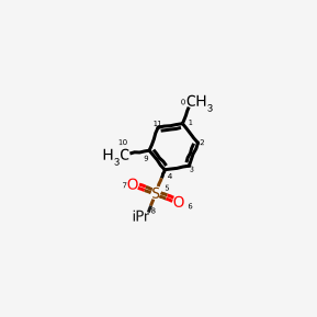 Cc1ccc(S(=O)(=O)C(C)C)c(C)c1